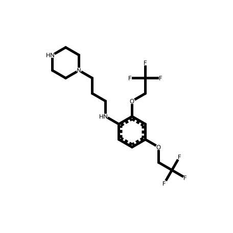 FC(F)(F)COc1ccc(NCCCN2CCNCC2)c(OCC(F)(F)F)c1